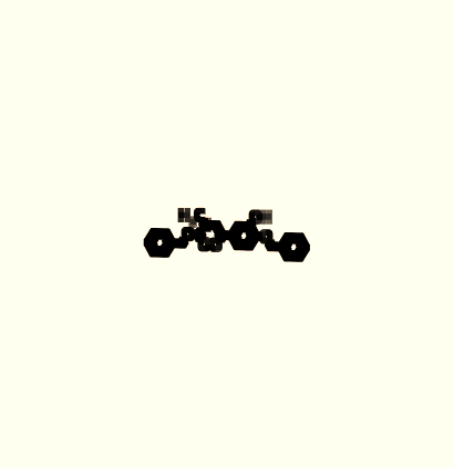 CN(CC(=O)c1ccc(OCc2ccccc2)c(O)c1)C(=O)OCc1ccccc1